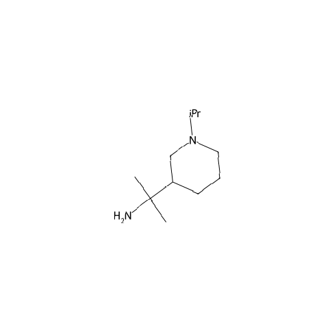 CC(C)N1CCCC(C(C)(C)N)C1